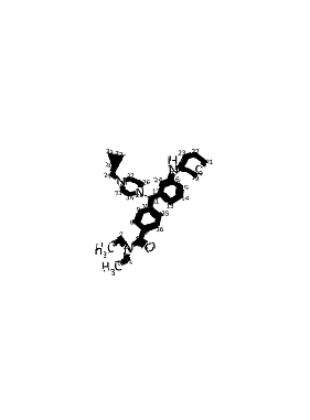 CCN(CC)C(=O)c1ccc([C@@H](c2cccc(NC3CCCCC3)c2)N2CCN(CC3CC3)CC2)cc1